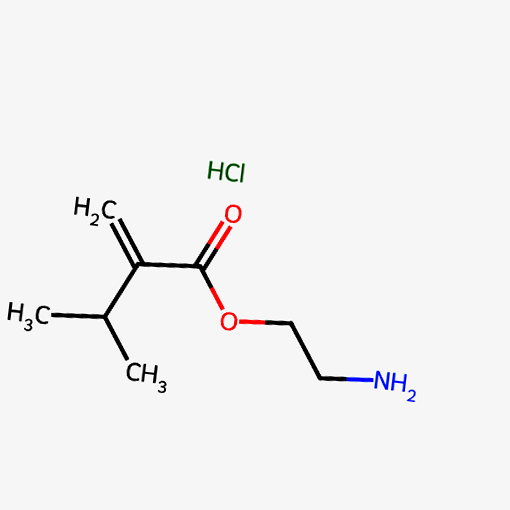 C=C(C(=O)OCCN)C(C)C.Cl